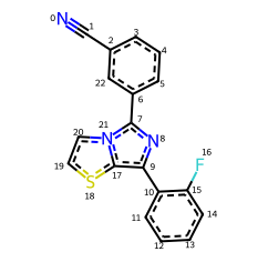 N#Cc1cccc(-c2nc(-c3ccccc3F)c3sccn23)c1